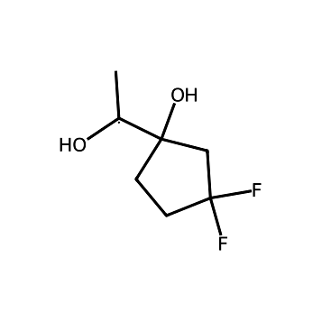 C[C](O)C1(O)CCC(F)(F)C1